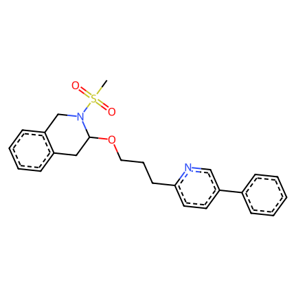 CS(=O)(=O)N1Cc2ccccc2CC1OCCCc1ccc(-c2ccccc2)cn1